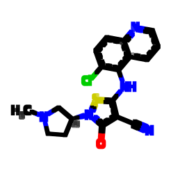 CN1CC[C@H](n2sc(Nc3c(Cl)ccc4ncccc34)c(C#N)c2=O)C1